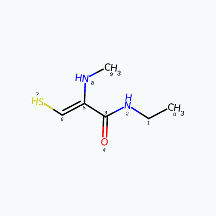 CCNC(=O)/C(=C/S)NC